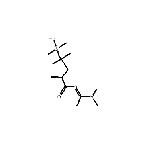 C/C(=N\C(=O)[C@@H](C)CC(C)(C)[Si](C)(C)O)N(C)C